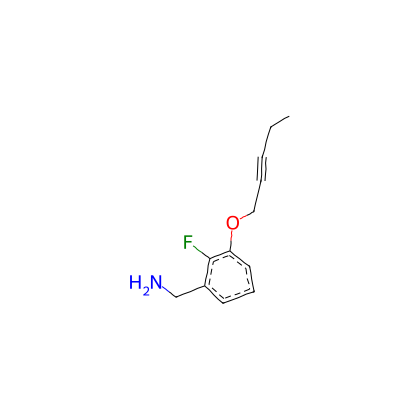 CCC#CCOc1cccc(CN)c1F